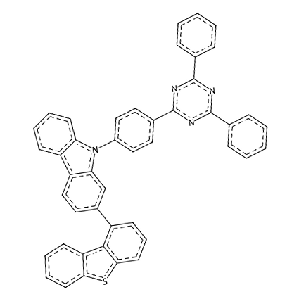 c1ccc(-c2nc(-c3ccccc3)nc(-c3ccc(-n4c5ccccc5c5ccc(-c6cccc7sc8ccccc8c67)cc54)cc3)n2)cc1